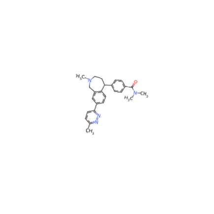 Cc1ccc(-c2ccc3c(c2)CN(C)CCC3c2ccc(C(=O)N(C)C)cc2)nn1